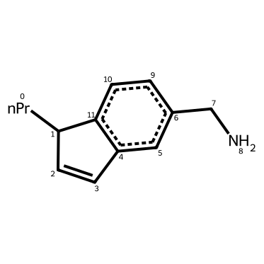 CCCC1C=Cc2cc(CN)ccc21